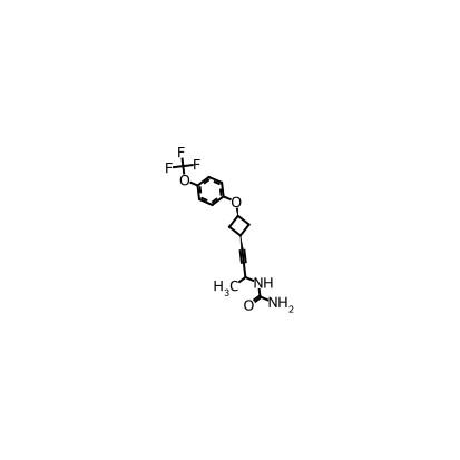 CC(C#C[C@H]1C[C@@H](Oc2ccc(OC(F)(F)F)cc2)C1)NC(N)=O